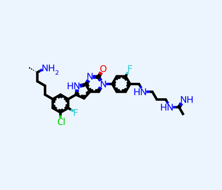 CC(=N)NCCCNCc1ccc(-n2cc3cc(-c4cc(CCC[C@H](C)N)cc(Cl)c4F)[nH]c3nc2=O)cc1F